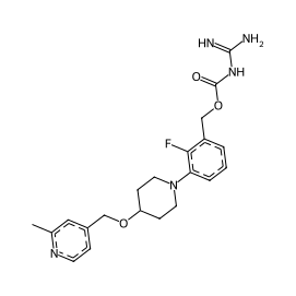 Cc1cc(COC2CCN(c3cccc(COC(=O)NC(=N)N)c3F)CC2)ccn1